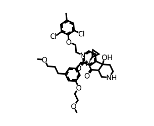 COCCCc1cc(CN(C(=O)C2CNCCC2(O)c2ccn(CCOc3c(Cl)cc(C)cc3Cl)c(=O)c2)C2CC2)cc(OCCOC)c1